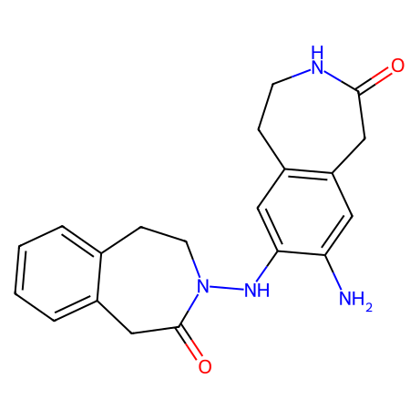 Nc1cc2c(cc1NN1CCc3ccccc3CC1=O)CCNC(=O)C2